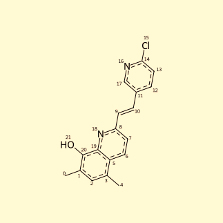 Cc1cc(C)c2ccc(C=Cc3ccc(Cl)nc3)nc2c1O